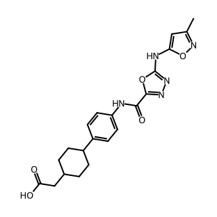 Cc1cc(Nc2nnc(C(=O)Nc3ccc(C4CCC(CC(=O)O)CC4)cc3)o2)on1